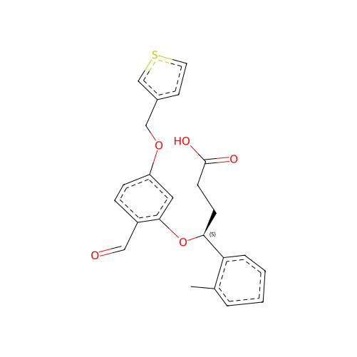 Cc1ccccc1[C@H](CCC(=O)O)Oc1cc(OCc2ccsc2)ccc1C=O